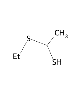 CCSC(C)S